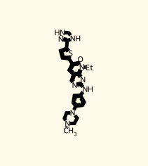 CCn1c(=O)c(-c2ccc(C3=NNCN3)s2)cc2cnc(Nc3ccc(N4CCN(C)CC4)cc3)nc21